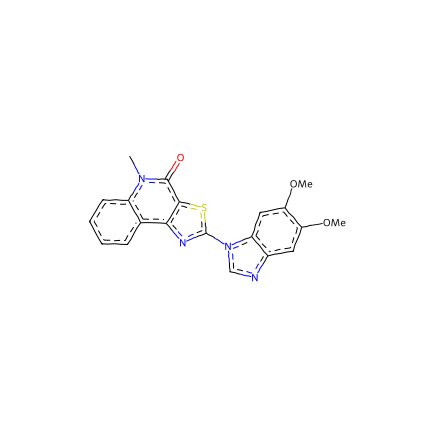 COc1cc2ncn(-c3nc4c(s3)c(=O)n(C)c3ccccc43)c2cc1OC